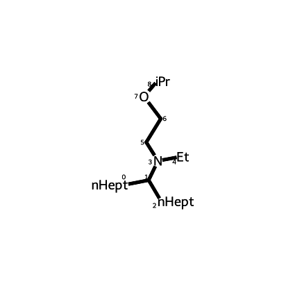 CCCCCCCC(CCCCCCC)N(CC)CCOC(C)C